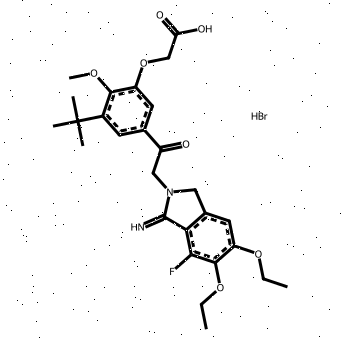 Br.CCOc1cc2c(c(F)c1OCC)C(=N)N(CC(=O)c1cc(OCC(=O)O)c(OC)c(C(C)(C)C)c1)C2